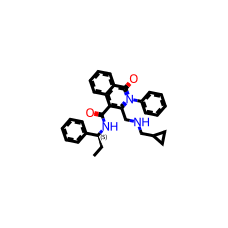 CC[C@H](NC(=O)c1c(CNCC2CC2)n(-c2ccccc2)c(=O)c2ccccc12)c1ccccc1